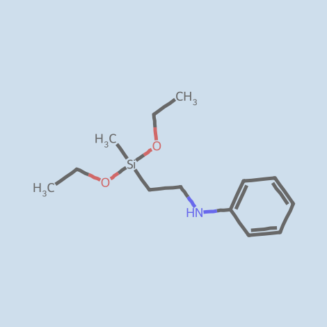 CCO[Si](C)(CCNc1ccccc1)OCC